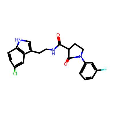 O=C(NCCc1c[nH]c2ccc(Cl)cc12)C1CCN(c2cccc(F)c2)C1=O